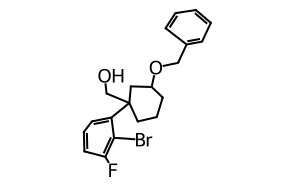 OCC1(c2cccc(F)c2Br)CCCC(OCc2ccccc2)C1